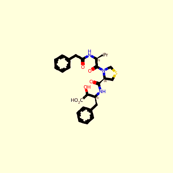 CC(C)[C@H](NC(=O)Cc1ccccc1)C(=O)N1CSC[C@H]1C(=O)N[C@@H](Cc1ccccc1)C(O)C(=O)O